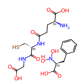 N[C@@H](CCC(=O)N[C@@H](CS)C(=O)NCC(=O)O)C(=O)O.O=C(O)[C@H](Cc1ccccc1)N(O)O